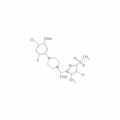 COc1cc(N2CCN(C(C=O)n3nc(S(C)(=O)=O)c(Cl)c3C)CC2)c(F)cc1Cl